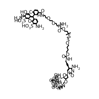 CC(C)(CCOC(=O)N(N)CCOCCOCCNC(=O)c1ccc(C(=O)O)c(-c2c3cc/c(=N/N)c(S(=O)(=O)O)c-3oc3c(S(=O)(=O)O)c(N)ccc23)c1)SSCOCCCCOC(=O)NCC#Cc1cn([C@H]2CC(OCN=[N+]=[N-])[C@@H](COP(=O)(O)OP(=O)(O)OP(=O)(O)O)O2)c(=O)nc1N